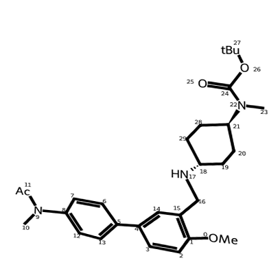 COc1ccc(-c2ccc(N(C)C(C)=O)cc2)cc1CN[C@H]1CC[C@H](N(C)C(=O)OC(C)(C)C)CC1